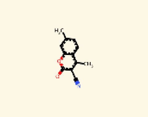 Cc1ccc2c(C)c(C#N)c(=O)oc2c1